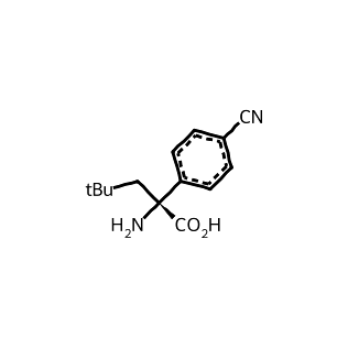 CC(C)(C)C[C@](N)(C(=O)O)c1ccc(C#N)cc1